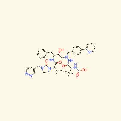 CCC(C)C(C(=O)N[C@@H](Cc1ccccc1)[C@@H](O)CN(Cc1ccc(-c2ccccn2)cc1)NC(=O)[C@@H](NC(=O)O)C(C)(C)C)N1CCN(Cc2ccnnc2)C1=O